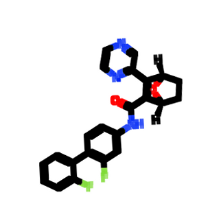 O=C(Nc1ccc(-c2ccccc2F)c(F)c1)C1=C(c2cnccn2)[C@@H]2CC[C@H]1O2